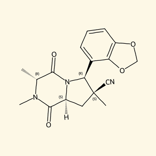 C[C@@H]1C(=O)N2[C@@H](c3cccc4c3OCO4)[C@@](C)(C#N)C[C@H]2C(=O)N1C